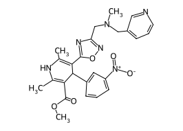 COC(=O)C1=C(C)NC(C)=C(c2nc(CN(C)Cc3cccnc3)no2)C1c1cccc([N+](=O)[O-])c1